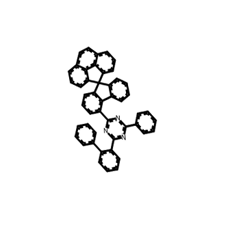 c1ccc(-c2nc(-c3ccccc3-c3ccccc3)nc(-c3cccc4c3-c3ccccc3C43c4cccc5ccc6cccc3c6c45)n2)cc1